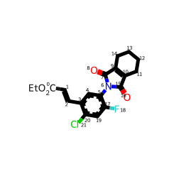 CCOC(=O)C=Cc1cc(N2C(=O)C3=C(CCCC3)C2=O)c(F)cc1Cl